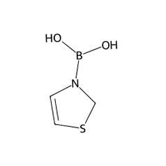 OB(O)N1C=CSC1